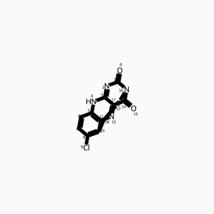 O=c1nc2[nH]c3ccc(Cl)c4c3nc-2c(=O)n1CC4